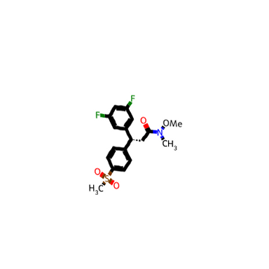 CON(C)C(=O)C[C@H](c1ccc(S(C)(=O)=O)cc1)c1cc(F)cc(F)c1